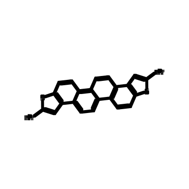 CCCc1cc2c(ccc3c2ccc2c4ccc5sc(CCC)cc5c4ccc32)s1